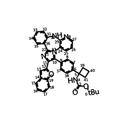 CC(C)(C)OC(=O)NC1(c2ccc(-c3c(-c4cc5ccccc5o4)nc4n3-c3cccnc3Nc3ccccc3-4)cc2)CCC1